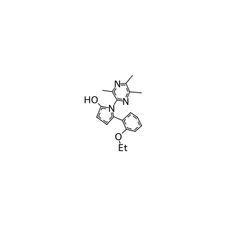 CCOc1ccccc1-c1ccc(O)n1-c1nc(C)c(C)nc1C